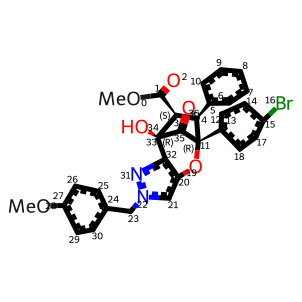 COC(=O)[C@H]1[C@@H](c2ccccc2)[C@]2(c3ccc(Br)cc3)Oc3cn(Cc4ccc(OC)cc4)nc3[C@@]1(O)C2=O